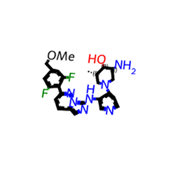 COCc1cc(F)c(-c2ccc3cnc(Nc4cnccc4N4C[C@@H](N)[C@H](O)[C@@H](C)C4)n3n2)c(F)c1